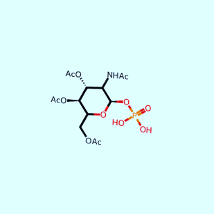 CC(=O)NC1[C@@H](OP(=O)(O)O)OC(COC(C)=O)[C@@H](OC(C)=O)[C@@H]1OC(C)=O